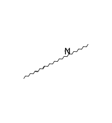 CCCCC/C=C/C/C=C/CCCCCCCCCC(CCCCCCCC)N(C)C